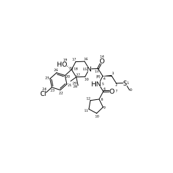 CSCC[C@@H](NC(=O)C1CCCC1)C(=O)N1CC[C@](O)(c2ccc(Cl)cc2)C(C)(C)C1